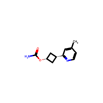 Cc1ccnc([C@H]2C[C@@H](OC(N)=O)C2)c1